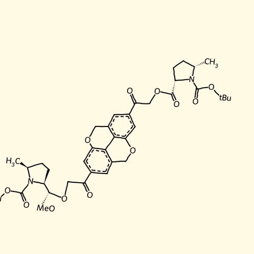 CO[C@@H](OCC(=O)c1cc2c3c(c1)OCc1cc(C(=O)COC(=O)[C@@H]4CC[C@H](C)N4C(=O)OC(C)(C)C)cc(c1-3)OC2)[C@@H]1CC[C@H](C)N1C(=O)OC(C)(C)C